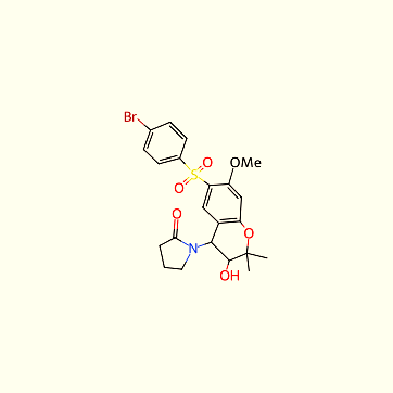 COc1cc2c(cc1S(=O)(=O)c1ccc(Br)cc1)C(N1CCCC1=O)C(O)C(C)(C)O2